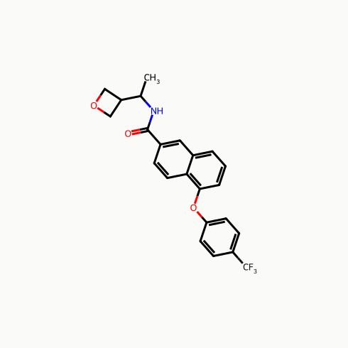 CC(NC(=O)c1ccc2c(Oc3ccc(C(F)(F)F)cc3)cccc2c1)C1COC1